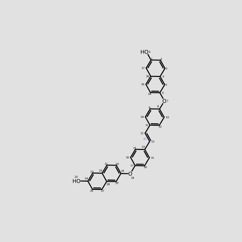 Oc1ccc2cc(Oc3ccc(/C=C/c4ccc(Oc5ccc6cc(O)ccc6c5)cc4)cc3)ccc2c1